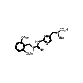 COc1cccc(OC)c1CNC(=N)Nc1nc(CN(C(=O)O)C(C)(C)C)cs1